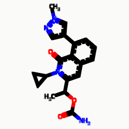 CC(OC(N)=O)c1cc2cccc(-c3cnn(C)c3)c2c(=O)n1C1CC1